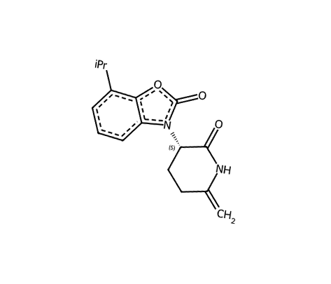 C=C1CC[C@H](n2c(=O)oc3c(C(C)C)cccc32)C(=O)N1